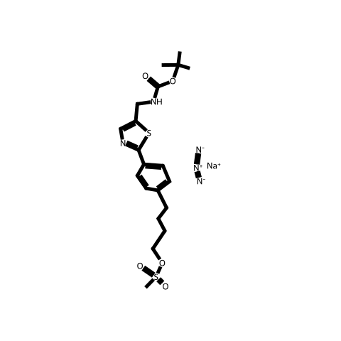 CC(C)(C)OC(=O)NCc1cnc(-c2ccc(CCCCOS(C)(=O)=O)cc2)s1.[N-]=[N+]=[N-].[Na+]